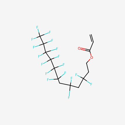 C=CC(=O)OCCC(F)(F)CC(F)(F)CC(F)(F)C(F)(F)C(F)(F)C(F)(F)C(F)(F)C(F)(F)F